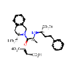 CCOC(=O)[C@H](CCc1ccccc1)N[C@@H](C)C(=O)N1Cc2ccccc2C[C@H]1C(=O)O.O=C(O)C=CC(=O)O